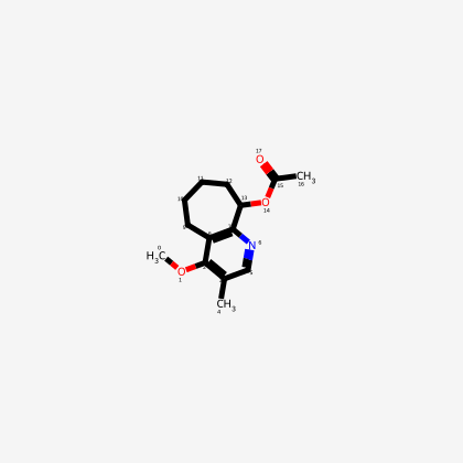 COc1c(C)cnc2c1CCCCC2OC(C)=O